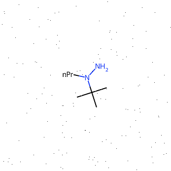 CCCN(N)C(C)(C)C